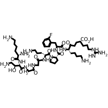 C[C@H](NC(=O)[C@@H](NC(=O)[C@@H](N)CCCCN)[C@@H](O)CN)C(=O)NCC(=O)N[C@H](CCCN)C(=O)N1CCC[C@H]1C(=O)NC(Cc1ccccc1F)C(=O)N[C@@H](CCCCN)C(=O)CCC(CCCNC(=N)N)C(=O)O